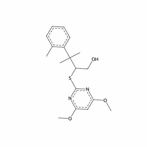 COc1cc(OC)nc(SC(CO)C(C)(C)c2ccccc2C)n1